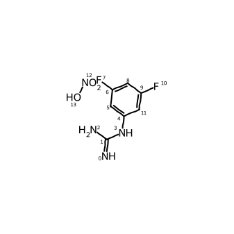 N=C(N)Nc1cc(F)cc(F)c1.O=[N+]([O-])O